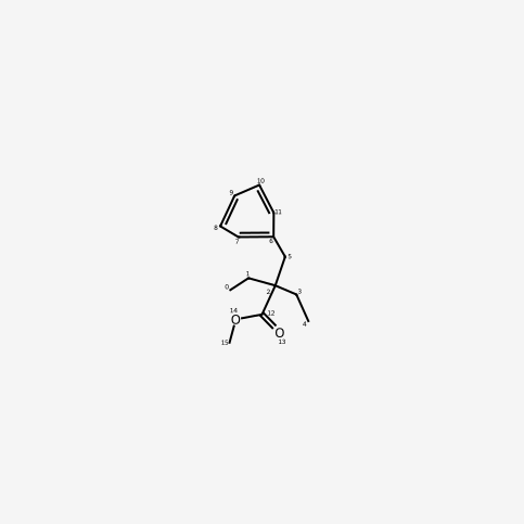 CCC(CC)(Cc1ccccc1)C(=O)OC